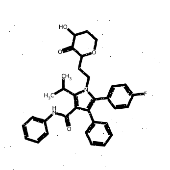 CC(C)c1c(C(=O)Nc2ccccc2)c(-c2ccccc2)c(-c2ccc(F)cc2)n1CCC1OCCC(O)C1=O